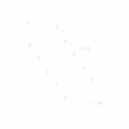 O=S(=O)(O)C(F)(F)C(F)(F)C(F)(F)C(F)(F)C(F)(F)C(F)(F)F.[KH]